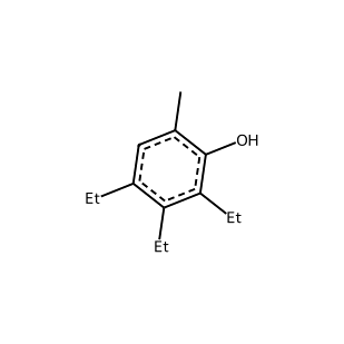 CCc1cc(C)c(O)c(CC)c1CC